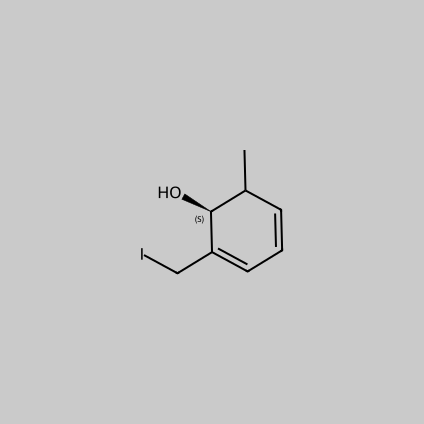 CC1C=CC=C(CI)[C@H]1O